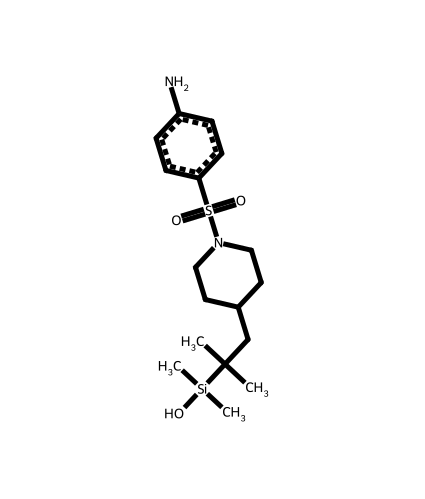 CC(C)(CC1CCN(S(=O)(=O)c2ccc(N)cc2)CC1)[Si](C)(C)O